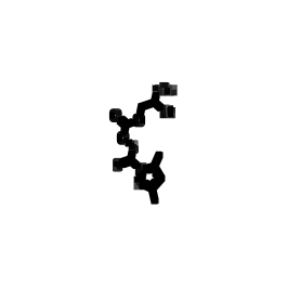 CCCCC(CC)COC(=O)OSC(=S)n1nc(C)cc1C